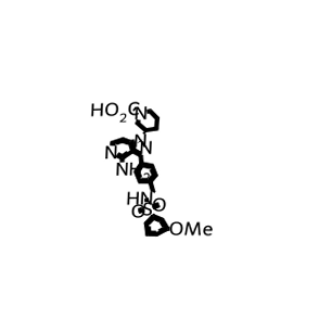 COc1cccc(S(=O)(=O)NCc2ccc(-c3nn([C@@H]4CCCN(C(=O)O)C4)c4ccnc(N)c34)cc2)c1